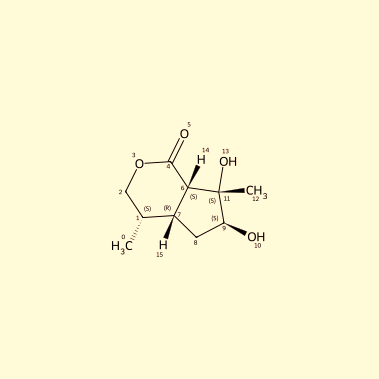 C[C@@H]1COC(=O)[C@H]2[C@@H]1C[C@H](O)[C@@]2(C)O